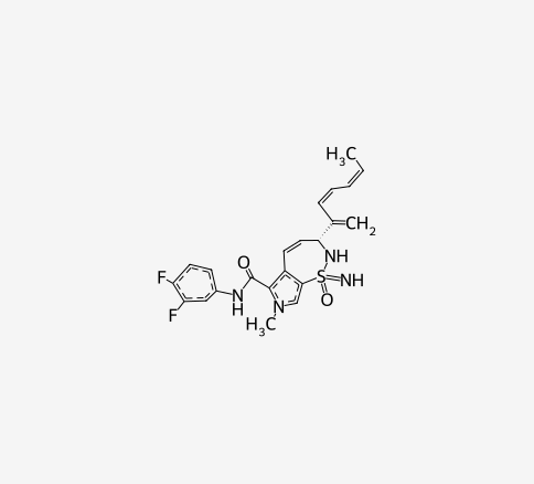 C=C(/C=C\C=C/C)[C@H]1C=Cc2c(cn(C)c2C(=O)Nc2ccc(F)c(F)c2)S(=N)(=O)N1